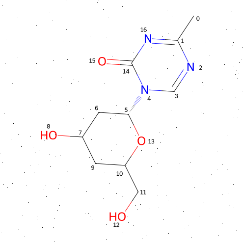 Cc1ncn([C@H]2CC(O)CC(CO)O2)c(=O)n1